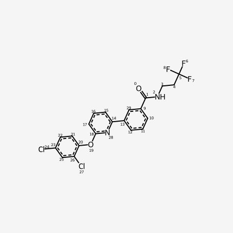 O=C(NCCC(F)(F)F)c1cccc(-c2cccc(Oc3ccc(Cl)cc3Cl)n2)c1